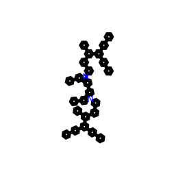 c1ccc(-c2ccc(-c3cc(-c4ccc(-c5ccccc5)cc4)cc(-c4cc(-c5ccccc5)cc(-c5cccc(-c6cccc(-n7c8ccc(-c9ccccc9)cc8c8cc(-c9ccc%10c(c9)c9cc(-c%11ccccc%11)ccc9n%10-c9cccc(-c%10cccc(-c%11cc(-c%12ccccc%12)cc(-c%12cc(-c%13ccc(-c%14ccccc%14)cc%13)cc(-c%13ccc(-c%14ccccc%14)cc%13)c%12)c%11)c%10)c9)ccc87)c6)c5)c4)c3)cc2)cc1